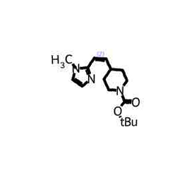 Cn1ccnc1/C=C\C1CCN(C(=O)OC(C)(C)C)CC1